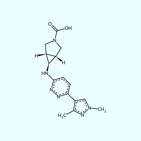 Cc1nn(C)cc1-c1ccc(N[C@H]2[C@@H]3CN(C(=O)O)C[C@@H]32)nn1